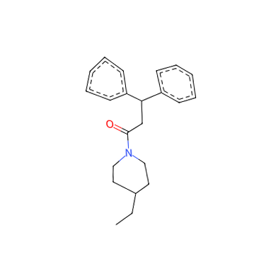 CCC1CCN(C(=O)CC(c2ccccc2)c2ccccc2)CC1